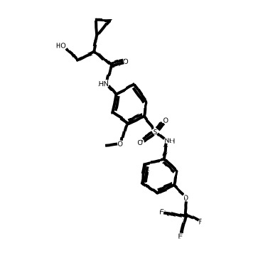 COc1cc(NC(=O)C(CO)C2CC2)ccc1S(=O)(=O)Nc1cccc(OC(F)(F)F)c1